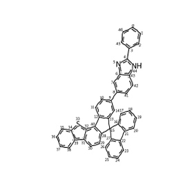 c1ccc(-c2nc3cc(-c4ccc5c(c4)C4(c6ccccc6-c6ccccc64)c4ccc6c(sc7ccccc76)c4-5)ccc3[nH]2)cc1